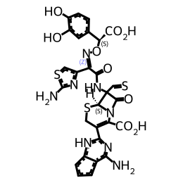 Nc1nc(/C(=N/O[C@H](C(=O)O)c2ccc(O)c(O)c2)C(=O)NC2(C=S)C(=O)N3C(C(=O)O)=C(c4nc(N)c5cccc-5[nH]4)CS[C@H]32)cs1